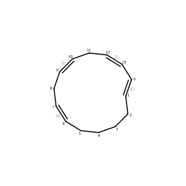 [C]1=C/CCCC/C=C\C/C=C\C\C=C/1